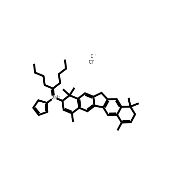 CCCC[C](CCCC)=[Zr+2]([C]1=CC=CC1)[CH]1C=C(C)c2cc3c(cc2C1(C)C)Cc1cc2c(cc1-3)C(C)=CCC2(C)C.[Cl-].[Cl-]